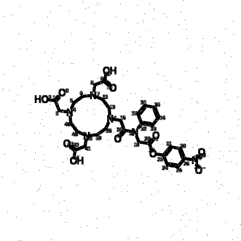 O=C(O)CN1CCN(CC(=O)O)CCN(CC(=O)N(CC(=O)Oc2ccc([N+](=O)[O-])cc2)c2ccccc2)CCN(CC(=O)O)CC1